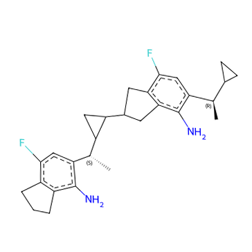 C[C@H](c1cc(F)c2c(c1N)CCC2)C1CC1C1Cc2c(F)cc([C@H](C)C3CC3)c(N)c2C1